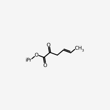 C/C=C/CC(=O)C(=O)OC(C)C